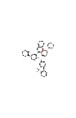 CC1(C)c2ccccc2-c2ccc(N(c3ccc(-c4ccccc4)cc3)c3ccc4c(sc5ccccc54)c3-c3ccc4ccccc4c3)cc21